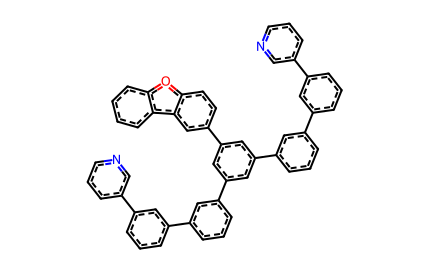 c1cncc(-c2cccc(-c3cccc(-c4cc(-c5cccc(-c6cccc(-c7cccnc7)c6)c5)cc(-c5ccc6oc7ccccc7c6c5)c4)c3)c2)c1